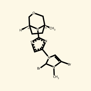 CN1C(Br)=CN(c2csc(N3[C@@H]4CC[C@@]3(C)COC4)n2)C1Br